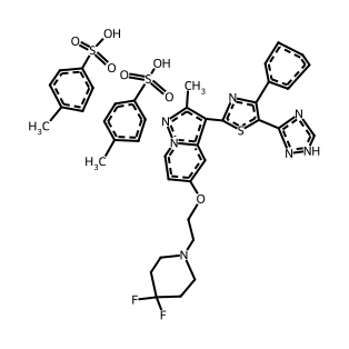 Cc1ccc(S(=O)(=O)O)cc1.Cc1ccc(S(=O)(=O)O)cc1.Cc1nn2ccc(OCCN3CCC(F)(F)CC3)cc2c1-c1nc(-c2ccccc2)c(-c2nc[nH]n2)s1